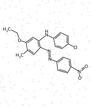 CCOc1cc(Nc2ccc(Cl)cc2)c(N=Nc2ccc([N+](=O)[O-])cc2)cc1C